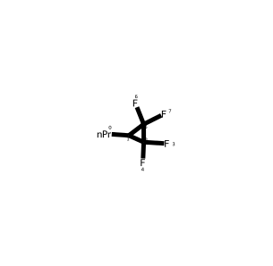 CCCC1C(F)(F)C1(F)F